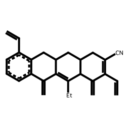 C=CC1=C(C#N)CC2CC3Cc4c(C=C)cccc4C(=C)C3=C(CC)C2C1=C